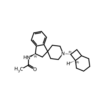 CC(=O)N[C@@H]1CC2(CCN([C@@H]3CC4CCCC[C@H]43)CC2)c2ccccc21